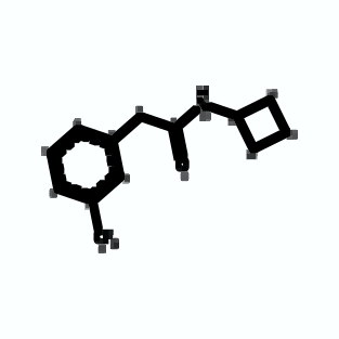 O=C(Cc1cccc(C(F)(F)F)c1)NC1CCC1